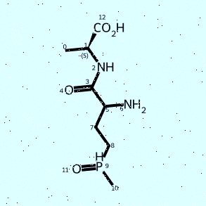 C[C@H](NC(=O)C(N)CC[PH](C)=O)C(=O)O